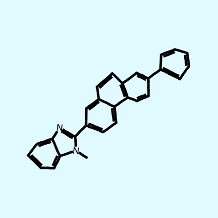 Cn1c(-c2ccc3c(ccc4cc(-c5ccccc5)ccc43)c2)nc2ccccc21